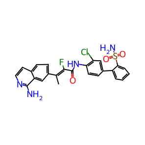 CC(=C(F)C(=O)Nc1ccc(-c2ccccc2S(N)(=O)=O)cc1Cl)c1ccc2ccnc(N)c2c1